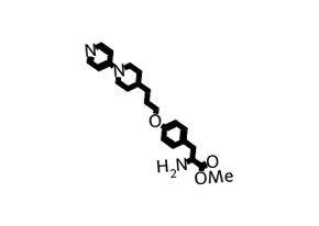 COC(=O)C(N)Cc1ccc(OCCCC2CCN(c3ccncc3)CC2)cc1